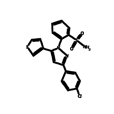 NS(=O)(=O)c1ccccc1-n1nc(-c2ccc(Cl)cc2)cc1-c1ccsc1